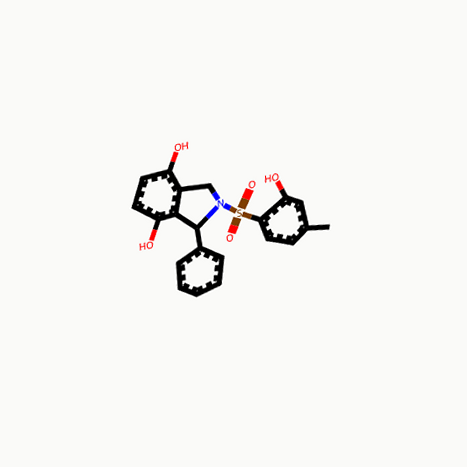 Cc1ccc(S(=O)(=O)N2Cc3c(O)ccc(O)c3C2c2ccccc2)c(O)c1